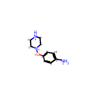 Nc1ccc(ON2CCNCC2)cc1